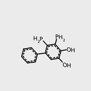 Oc1cc(-c2ccccc2)c(P)c(P)c1O